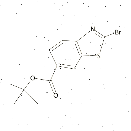 CC(C)(C)OC(=O)c1ccc2nc(Br)sc2c1